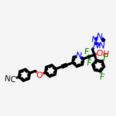 N#Cc1ccc(COc2ccc(C#Cc3ccc(C(F)(F)C(O)(Cn4ncnn4)c4ccc(F)cc4F)nc3)cc2)cc1